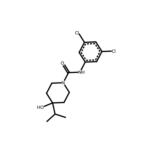 CC(C)C1(O)CCN(C(=O)Nc2cc(Cl)cc(Cl)c2)CC1